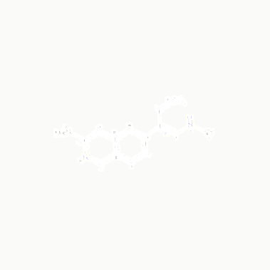 C=C/C(=C\NC(C)C)c1ccc2cnc(NC)cc2c1